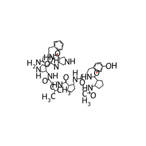 CC(=O)NC1CCCC1C(=O)N[C@H](CC(=O)NC1CCCC1C(=O)NC[C@H](CC(C)C)C(=O)NC1CNCC1C(=O)NC1CNCC1C(=O)N[C@H](CC(N)=O)Cc1ccccc1)Cc1ccc(O)cc1